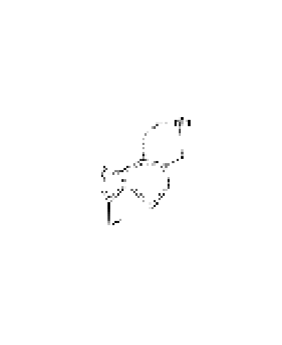 CC(C)(C)c1coc2c3c(ccc12)CNCC3